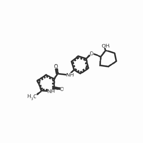 Cc1ccc(C(=O)Nc2ccc(OC3CCCCC3O)cc2)c(=O)[nH]1